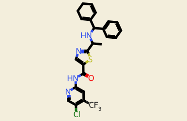 CC(NC(C1=CCCC=C1)c1ccccc1)c1ncc(C(=O)Nc2cc(C(F)(F)F)c(Cl)cn2)s1